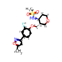 Cc1cc(-c2ccc(OC[C@H]3COCC[C@@H]3NS(C)(=O)=O)c(F)c2)no1